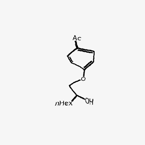 CCCCCCC(O)COc1ccc(C(C)=O)cc1